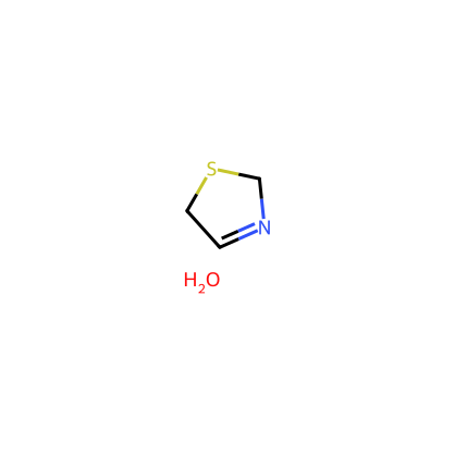 C1=NCSC1.O